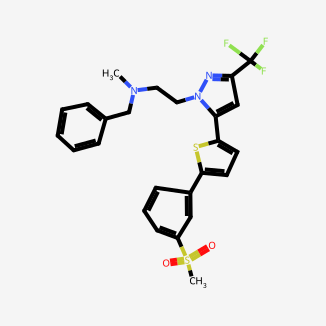 CN(CCn1nc(C(F)(F)F)cc1-c1ccc(-c2cccc(S(C)(=O)=O)c2)s1)Cc1ccccc1